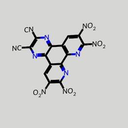 [C-]#[N+]c1nc2c3cc([N+](=O)[O-])c([N+](=O)[O-])nc3c3nc([N+](=O)[O-])c([N+](=O)[O-])cc3c2nc1C#N